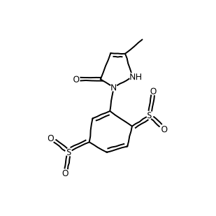 Cc1cc(=O)n(C2=CC(=S(=O)=O)C=CC2=S(=O)=O)[nH]1